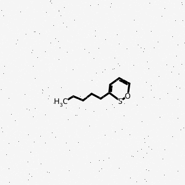 CCCCCC1=CC=COS1